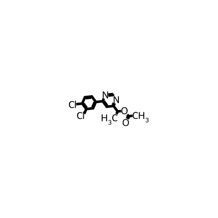 CC(=O)OC(C)c1cc(-c2ccc(Cl)c(Cl)c2)ncn1